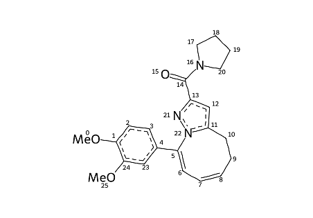 COc1ccc(/C2=C/C=C\CCc3cc(C(=O)N4CCCC4)nn32)cc1OC